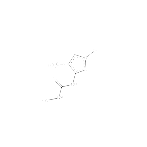 CCCNC(=S)Nc1nn(CC)cc1C(=O)O